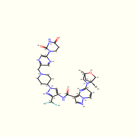 O=C1CCN(c2cnc(CN3CCC(n4cc(NC(=O)c5cnn6ccc(N7C[C@H]8C[C@@H]7CO8)nc56)c(C(F)F)n4)CC3)cn2)C(=O)N1